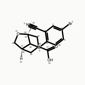 N#Cc1cc(Br)ccc1OC1[C@@H]2CO[C@H]1CN(C(=O)O)C2